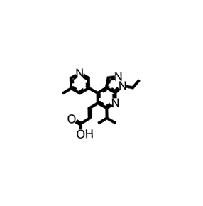 CCn1ncc2c(-c3cncc(C)c3)c(C=CC(=O)O)c(C(C)C)nc21